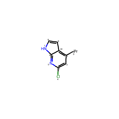 CC(C)c1cc(Cl)nc2[nH]ccc12